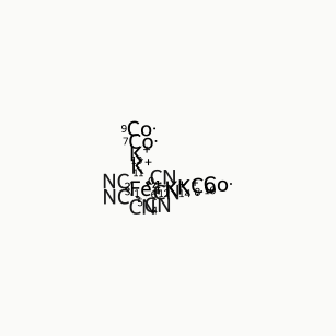 N#[C][Fe-4]([C]#N)([C]#N)([C]#N)([C]#N)[C]#N.[Co].[Co].[Co].[Co].[K+].[K+].[K+].[K+]